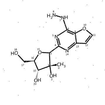 C[C@]1(O)C(c2nc(NN)c3occc3n2)O[C@H](CO)[C@H]1O